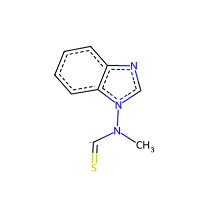 CN([C]=S)n1cnc2ccccc21